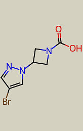 O=C(O)N1CC(n2cc(Br)cn2)C1